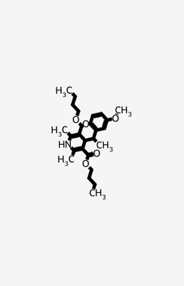 CCCCOC(=O)C1=C(C)NC(C)=C(C(=O)OCCCC)C1C(C)c1cccc(OC)c1